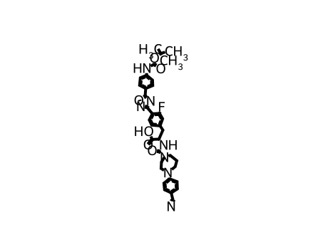 CC(C)(C)OC(=O)Nc1ccc(-c2nc(-c3ccc(CC(NC(=O)N4CCCN(c5ccc(C#N)cc5)CC4)C(=O)O)cc3F)no2)cc1